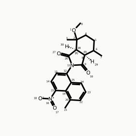 COC1(C)CCC(C)[C@H]2C(=O)N(c3ccc([N+](=O)[O-])c4c(C)cccc34)C(=O)[C@H]21